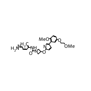 C=C(/C=C\C=N/N)NC(=O)N1CC(Oc2ccc(-c3cc(OCCOC)ccc3OC)cn2)C1